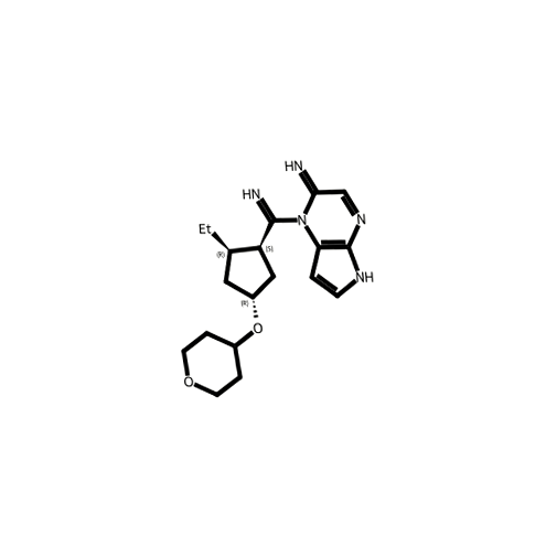 CC[C@@H]1C[C@@H](OC2CCOCC2)C[C@@H]1C(=N)n1c(=N)cnc2[nH]ccc21